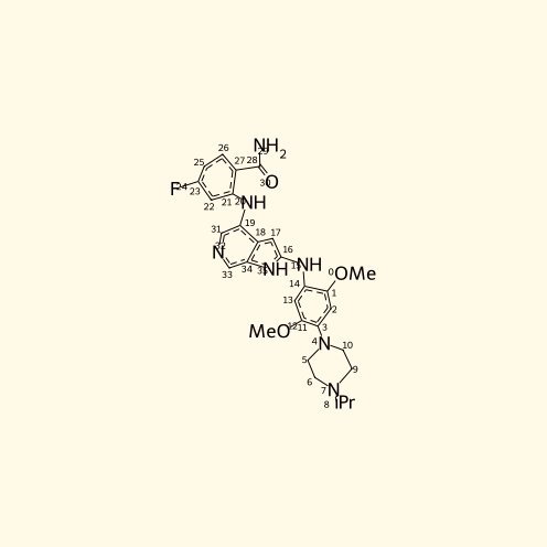 COc1cc(N2CCN(C(C)C)CC2)c(OC)cc1Nc1cc2c(Nc3cc(F)ccc3C(N)=O)cncc2[nH]1